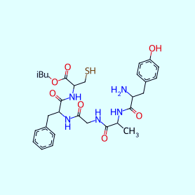 CCC(C)OC(=O)C(CS)NC(=O)C(Cc1ccccc1)NC(=O)CNC(=O)C(C)NC(=O)C(N)Cc1ccc(O)cc1